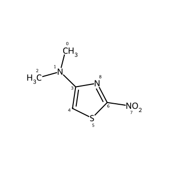 CN(C)c1csc([N+](=O)[O-])n1